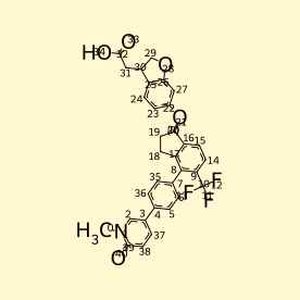 Cn1cc(-c2ccc(-c3c(C(F)(F)F)ccc4c3CC[C@H]4Oc3ccc4c(c3)OCC4CC(=O)O)cc2)ccc1=O